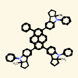 CC12CCCC1c1cc(-c3cc(-c4ccccc4)c4ccc5c(-c6ccc7c(c6)C6CCCC6(C)N7c6ccccc6)cc(-c6ccc7c(c6)C6CCCC6(C)N7c6ccccc6)c6ccc3c4c56)ccc1N2c1ccccc1